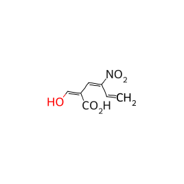 C=C/C(=C\C(=C\O)C(=O)O)[N+](=O)[O-]